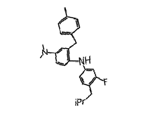 Cc1ccc(Cc2cc(N(C)C)ccc2Nc2ccc(CC(C)C)c(F)c2)cc1